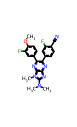 COc1ccc(-c2nc3c(nc2-c2ccc(C#N)c(F)c2)nc(N(C)C)n3C)cc1F